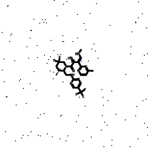 CN/C=C(\C(=N)C(=O)N1CC(F)(F)C[C@@H](C)C1CNc1ncc(C(F)(F)F)cn1)c1nccc(C)n1